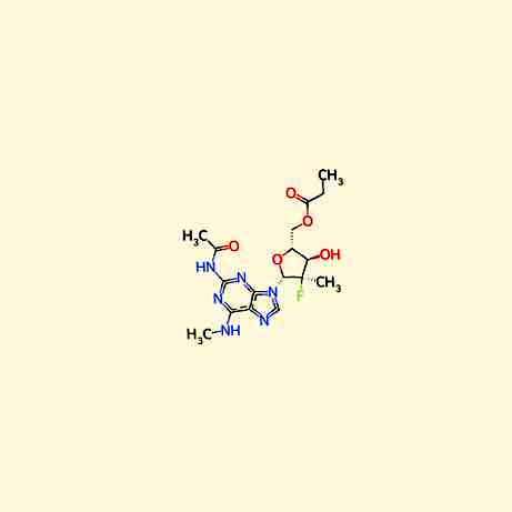 CCC(=O)OC[C@H]1O[C@@H](n2cnc3c(NC)nc(NC(C)=O)nc32)[C@](C)(F)[C@@H]1O